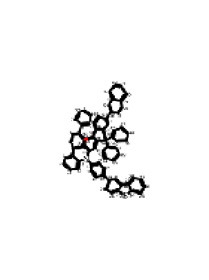 c1ccc(-c2ccc(-c3ccccc3N(c3ccc(-c4ccc5sc6ccccc6c5c4)cc3)c3ccc4c(c3)C(c3ccccc3)(c3ccccc3)c3cc(-c5ccc6ccccc6c5)ccc3-4)cc2)cc1